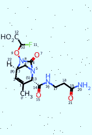 CC1=C[C@@H]2CN(C(=O)N2OC(F)C(=O)O)[C@@H]1C(=O)NCCC(N)=O